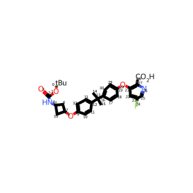 CC(C)(C)OC(=O)NC1CC(Oc2ccc(C(C)(C)c3ccc(Oc4cc(F)cnc4C(=O)O)cc3)cc2)C1